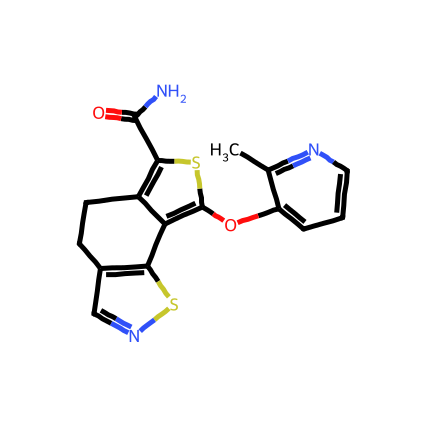 Cc1ncccc1Oc1sc(C(N)=O)c2c1-c1sncc1CC2